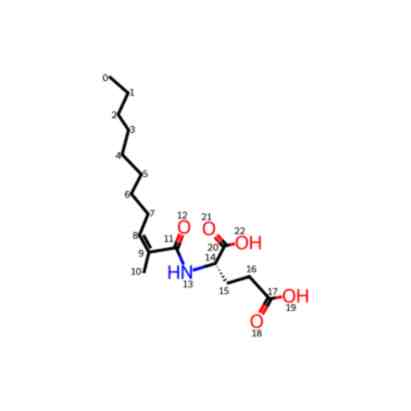 CCCCCCCCC=C(C)C(=O)N[C@@H](CCC(=O)O)C(=O)O